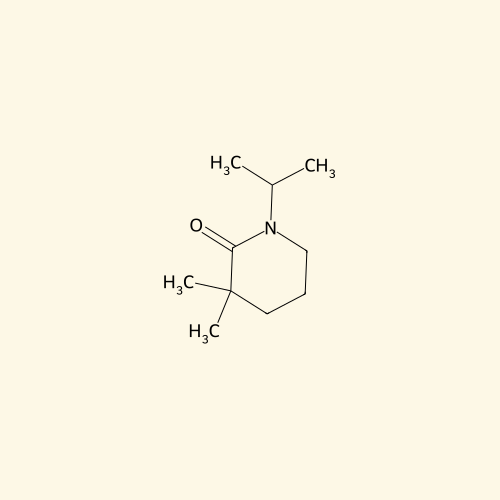 CC(C)N1CCCC(C)(C)C1=O